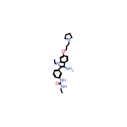 CCNC(=O)Nc1cccc(-c2c(N)c3ccc(OCCCN4CCCC4)cc3n2CC)c1